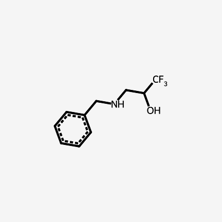 OC(CNCc1ccccc1)C(F)(F)F